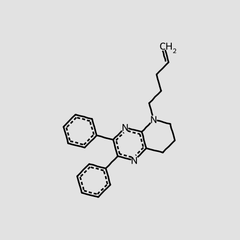 C=CCCCN1CCCc2nc(-c3ccccc3)c(-c3ccccc3)nc21